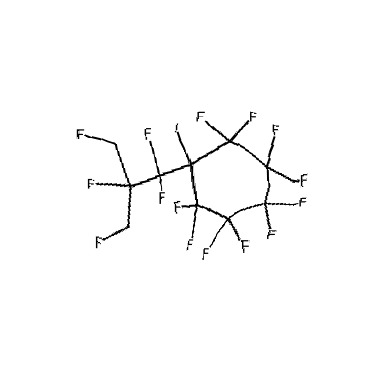 FCC(F)(CF)C(F)(F)C1(I)C(F)(F)C(F)(F)C(F)(F)C(F)(F)C1(F)F